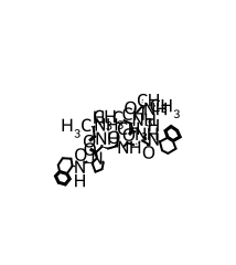 CN[C@@H](C)C(=O)N[C@@H](CC(=O)NCC[C@H](NC(=O)[C@@H](NC(=O)[C@H](C)NC)C(C)(C)C)C(=O)N[C@@H]1CCCc2ccccc21)C(=O)N1CCC[C@H]1C(=O)N[C@@H]1CCCc2ccccc21